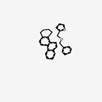 c1ccc(COCc2ccco2)cc1.c1ccc2c(c1)ccc1c3c(ccc12)CCCC3